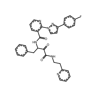 O=C(NCCc1ccccn1)C(=O)C(Cc1ccccc1)NC(=O)c1cccnc1-n1ccc(-c2ccc(F)cc2)n1